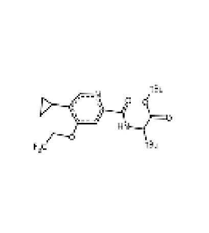 CC(C)(C)OC(=O)C(NC(=O)c1cc(OCC(F)(F)F)c(C2CC2)cn1)C(C)(C)C